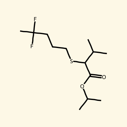 CC(C)OC(=O)C(SCCCC(C)(F)F)C(C)C